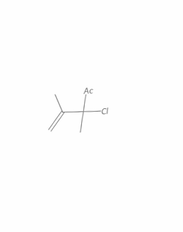 C=C(C)C(C)(Cl)C(C)=O